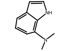 CN(C)c1cccc2cc[nH]c12